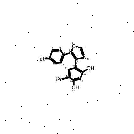 CCc1ccc(-c2ocnc2-c2cc(C(C)C)c(O)cc2O)cc1